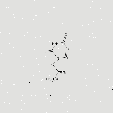 C=C1NC(=O)C=CN1C[C@H](C)C(=O)O